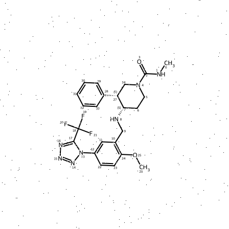 CNC(=O)N1CC[C@H](NCc2cc(-n3nnnc3C(F)(F)F)ccc2OC)[C@H](c2ccccc2)C1